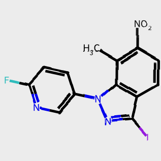 Cc1c([N+](=O)[O-])ccc2c(I)nn(-c3ccc(F)nc3)c12